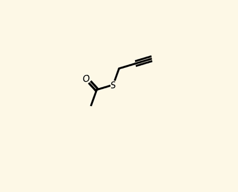 C#CCSC(C)=O